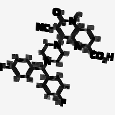 Cn1c(=O)c(C#N)c(N2CCN(C(c3ccc(F)cc3)c3ccc(F)cc3)CC2)c2nc(C(=O)O)ccc21